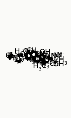 C[C@@H]1C[C@H]([C@H](N=[N+]=[N-])C(C)(C)O)O[C@H]2[C@H]1[C@@]1(C)CCC34C[C@@]35CC[C@H](OC3CN(C6COC6)CCO3)C(C)(C)C5CC[C@H]4[C@]1(C)[C@H]2O